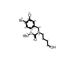 CC(C)(C)OC(=O)N(CCCCO)Cc1ccc(Br)c(Cl)c1